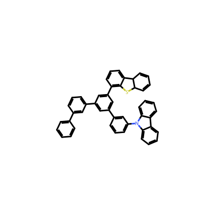 C1=CC2Sc3c(-c4cc(-c5cccc(-c6ccccc6)c5)cc(-c5cccc(-n6c7ccccc7c7ccccc76)c5)c4)cccc3C2C=C1